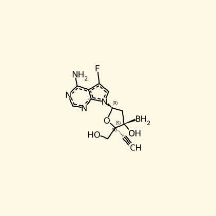 B[C@]1(O)C[C@H](n2cc(F)c3c(N)ncnc32)O[C@]1(C#C)CO